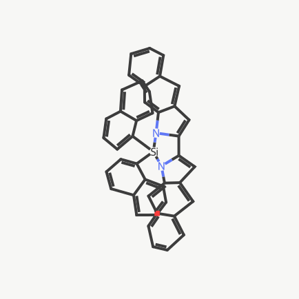 c1ccc2cc3c(cc4n3[Si](c3cccc5ccccc35)(c3cccc5ccccc35)n3c-4cc4cc5ccccc5cc43)cc2c1